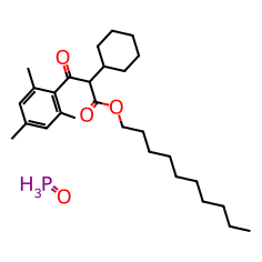 CCCCCCCCCCOC(=O)C(C(=O)c1c(C)cc(C)cc1C)C1CCCCC1.O=[PH3]